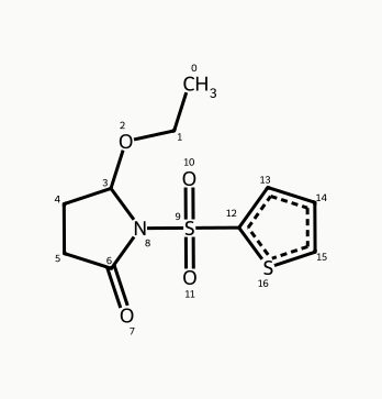 CCOC1CCC(=O)N1S(=O)(=O)c1cccs1